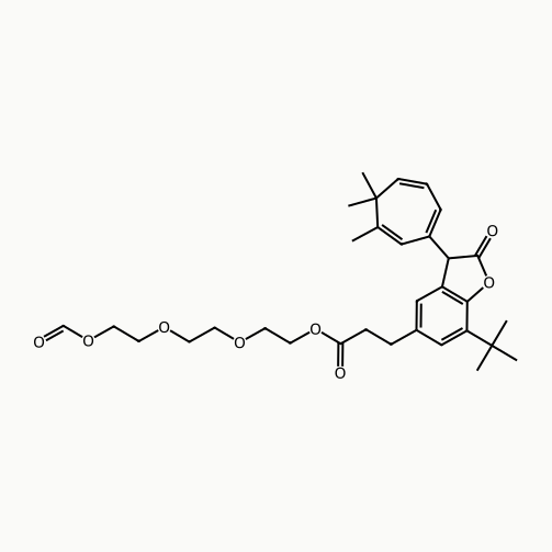 CC1=CC(C2C(=O)Oc3c2cc(CCC(=O)OCCOCCOCCOC=O)cc3C(C)(C)C)=CC=CC1(C)C